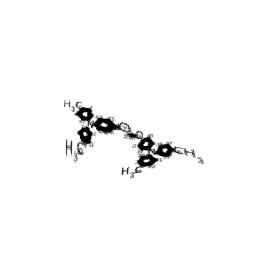 Cc1ccc(N(c2ccc(C)cc2)c2ccc(OCOc3ccc(N(c4ccc(C)cc4)c4ccc(C)cc4)cc3)cc2)cc1